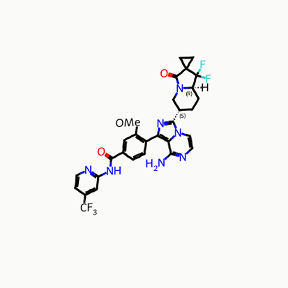 COc1cc(C(=O)Nc2cc(C(F)(F)F)ccn2)ccc1-c1nc([C@H]2CC[C@H]3N(C2)C(=O)C2(CC2)C3(F)F)n2ccnc(N)c12